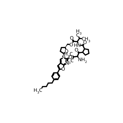 CCCCCc1ccc(-c2cc3cn([C@H]4CC[C@@H](COC(=O)C(NC(=O)C5CCCC5C(=O)C(N)C(C)C)C(C)C)O4)c(=O)nc3o2)cc1